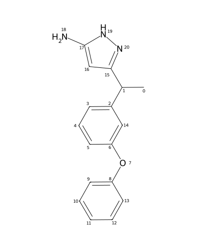 CC(c1cccc(Oc2ccccc2)c1)c1cc(N)[nH]n1